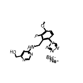 COc1ccc(-n2cnnn2)c(CNc2cc(CO)ncn2)c1F.[BH4-].[Na+]